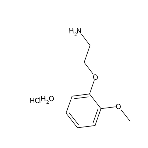 COc1ccccc1OCCN.Cl.O